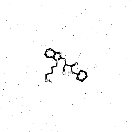 C=CC(Sc1nc2ccccc2n1CCCCC)C(=O)Nc1ccccc1